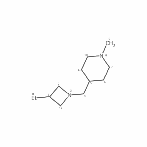 CCC1CN(CC2CCN(C)CC2)C1